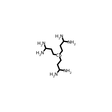 NC(N)C[CH2][Co]([CH2]CC(N)N)[CH2]CC(N)N